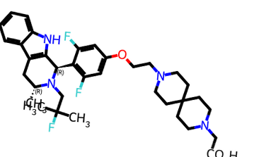 C[C@@H]1Cc2c([nH]c3ccccc23)[C@@H](c2c(F)cc(OCCN3CCC4(CC3)CCN(CC(=O)O)CC4)cc2F)N1CC(C)(C)F